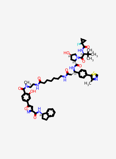 Cc1ncsc1-c1ccc([C@H](CC(=O)NCCCCCCC(=O)NCCN(C)C(=O)c2ccc(-c3cc(C(=O)N[C@@H]4CCc5ccccc54)no3)cc2O)NC(=O)[C@@H]2C[C@@H](O)CN2C(=O)[C@@H](NC(=O)C2(F)CC2)C(C)(C)C)cc1